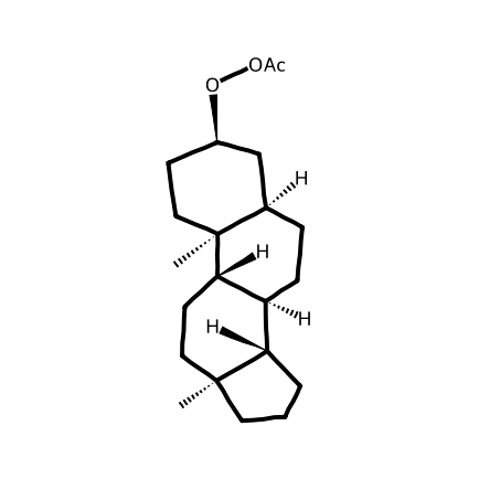 CC(=O)OO[C@@H]1CC[C@@]2(C)[C@H](CC[C@H]3[C@@H]4CCC[C@@]4(C)CC[C@@H]32)C1